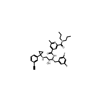 C#Cc1cccc(C2(NC[C@@H](O)[C@H](Cc3cc(F)cc(F)c3)NC(=O)c3cc(C)nc(C(=O)N(CCC)CCC)c3)CC2)c1